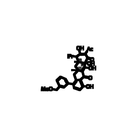 COCc1cccc(-c2ccc(O)c3c2C[C@]2(C)C[C@]4(C)C(C(C)C)C(O)=C(C(C)=O)C(=O)[C@]4(O)C(O)=C2C3=O)c1